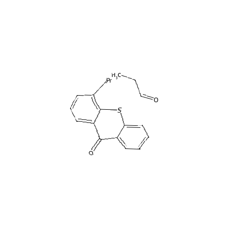 CC(C)c1cccc2c(=O)c3ccccc3sc12.CCC=O